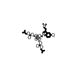 COc1ccc2c(c1)c(CCN(C)C)cn2COP(=O)(OCOC(=O)OCC(C)C)OCOC(=O)OCC(C)C